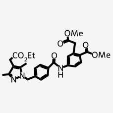 CCOC(=O)Cc1c(C)nn(Cc2ccc(C(=O)Nc3ccc(C(=O)OC)c(CC(=O)OC)c3)cc2)c1C